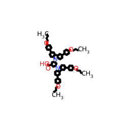 CCCCOc1ccc(-c2ccc3c(c2)c2cc(-c4ccc(OCCCC)cc4)ccc2n3-c2cc(C(=O)O)cc(-n3c4ccc(-c5ccc(OCCCC)cc5)cc4c4cc(-c5ccc(OCCCC)cc5)ccc43)c2)cc1